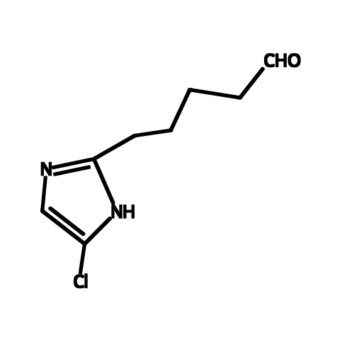 O=CCCCCc1ncc(Cl)[nH]1